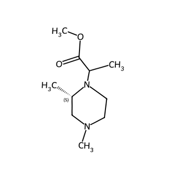 COC(=O)C(C)N1CCN(C)C[C@@H]1C